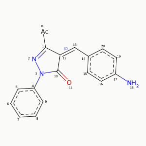 CC(=O)C1=NN(c2ccccc2)C(=O)/C1=C\c1ccc(N)cc1